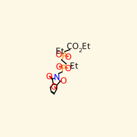 CCOC(=O)CCP(=O)(CCP(=O)(CCN1C(=O)C2C3C=CC(O3)C2C1=O)OCC)OCC